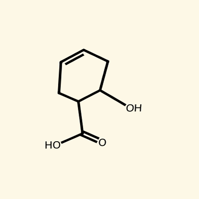 O=C(O)C1CC=CCC1O